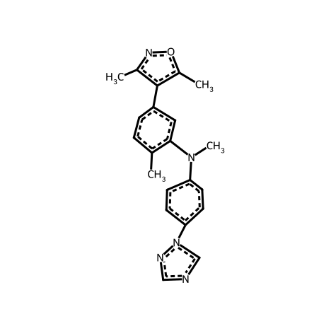 Cc1ccc(-c2c(C)noc2C)cc1N(C)c1ccc(-n2cncn2)cc1